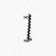 CCC(O)CCCCCC=CCCCCCCCC(=O)O